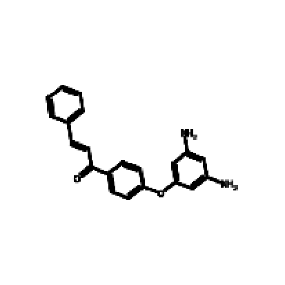 Nc1cc(N)cc(Oc2ccc(C(=O)C=Cc3ccccc3)cc2)c1